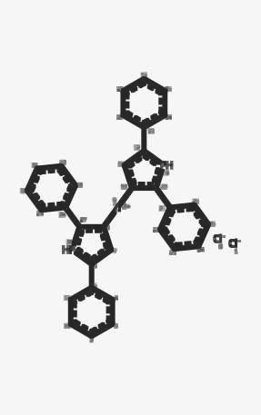 [Cl-].[Cl-].c1ccc(-c2c[c]([Zr+2][c]3cc(-c4ccccc4)[pH]c3-c3ccccc3)c(-c3ccccc3)[pH]2)cc1